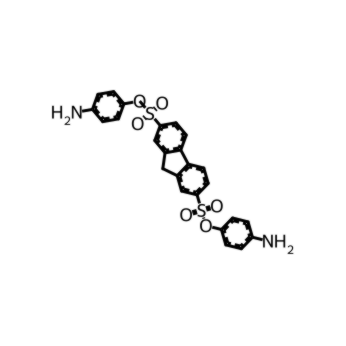 Nc1ccc(OS(=O)(=O)c2ccc3c(c2)Cc2cc(S(=O)(=O)Oc4ccc(N)cc4)ccc2-3)cc1